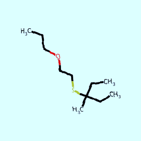 CCCOCCSC(C)(CC)CC